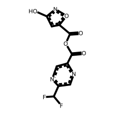 O=C(OC(=O)c1cc(O)no1)c1cnc(C(F)F)cn1